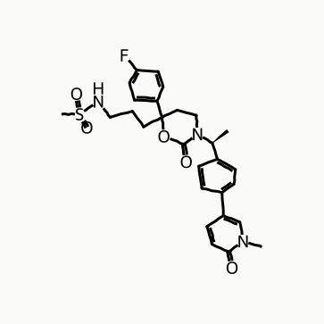 C[C@@H](c1ccc(-c2ccc(=O)n(C)c2)cc1)N1CCC(CCCNS(C)(=O)=O)(c2ccc(F)cc2)OC1=O